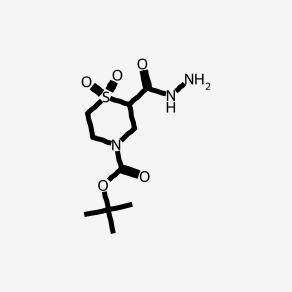 CC(C)(C)OC(=O)N1CCS(=O)(=O)C(C(=O)NN)C1